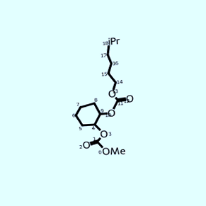 COC(=O)OC1CCCCC1OC(=O)OCCCCC(C)C